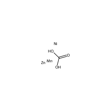 O=C(O)O.[Mn].[Ni].[Zn]